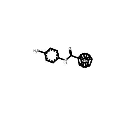 Nc1ccc(NC(=O)[C]23[CH]4[CH]5[CH]6[CH]2[Fe]56432789[CH]3[CH]2[CH]7[CH]8[CH]39)cc1